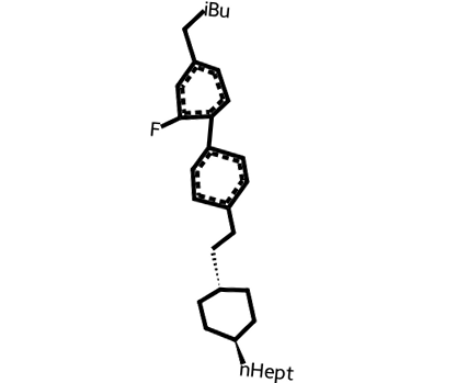 CCCCCCC[C@H]1CC[C@H](CCc2ccc(-c3ccc(CC(C)CC)cc3F)cc2)CC1